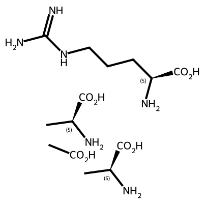 CC(=O)O.C[C@H](N)C(=O)O.C[C@H](N)C(=O)O.N=C(N)NCCC[C@H](N)C(=O)O